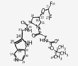 CC(C)(C)OC(=O)NCC(=O)N1C[C@H](OC(F)F)C[C@H]1C(=O)NCc1cc2cnccc2[nH]1